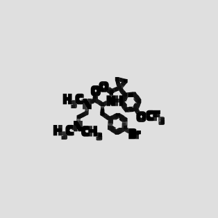 CN(C)CCN(C)C(=O)[C@H](Cc1ccc(Br)cc1)NC(=O)C1(c2ccc(OC(F)(F)F)cc2)CC1